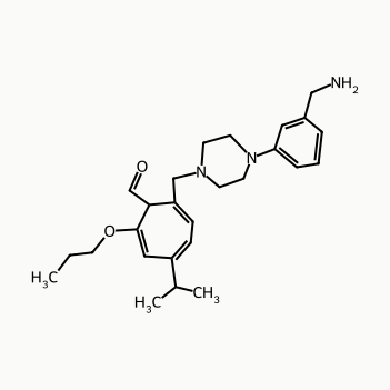 CCCOC1=CC(C(C)C)=CC=C(CN2CCN(c3cccc(CN)c3)CC2)C1C=O